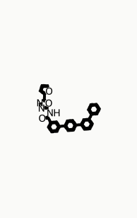 O=C(Nc1nnc(-c2ccco2)o1)c1cccc(-c2ccc(-c3cccc(-c4ccccc4)c3)cc2)c1